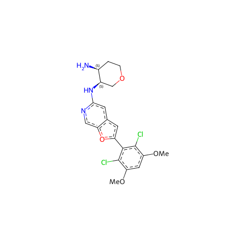 COc1cc(OC)c(Cl)c(-c2cc3cc(N[C@@H]4COCC[C@@H]4N)ncc3o2)c1Cl